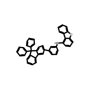 c1ccc(C2(c3ccccc3)c3ccccc3-c3cc(-c4cccc(Nc5cccc6oc7ccccc7c56)c4)ccc32)cc1